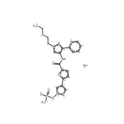 CCOCCn1cc(NC(=O)c2ccc(-c3cnn(OP(C)(=O)[O-])c3)o2)c(-c2ccccn2)n1.[Na+]